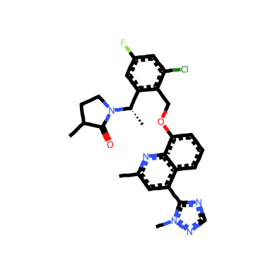 Cc1cc(-c2ncnn2C)c2cccc(OCc3c(Cl)cc(F)cc3[C@H](C)N3CCC(C)C3=O)c2n1